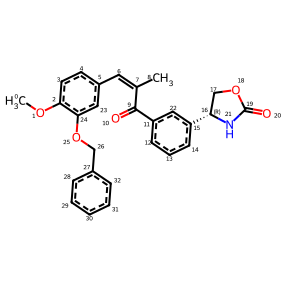 COc1ccc(C=C(C)C(=O)c2cccc([C@@H]3COC(=O)N3)c2)cc1OCc1ccccc1